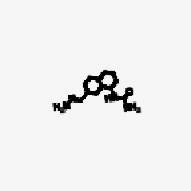 NN=Cc1ccc2cccc(NC(N)=O)c2c1